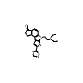 CCN(CC)CCn1c2ccc3c(c2c2cc(-c4nnco4)sc21)CCC3=O